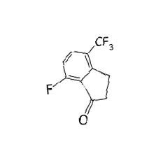 O=C1CCc2c(C(F)(F)F)ccc(F)c21